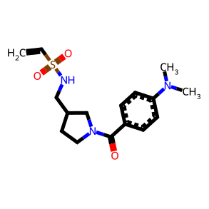 C=CS(=O)(=O)NCC1CCN(C(=O)c2ccc(N(C)C)cc2)C1